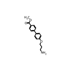 COC(=O)c1ccc(-c2ccc(OCCCN)cc2)cc1